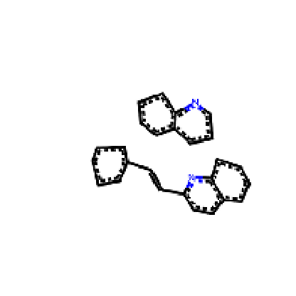 C(=Cc1ccc2ccccc2n1)c1ccccc1.c1ccc2ncccc2c1